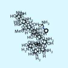 COC(=O)N[C@H]1[C@H](O[C@H]2[C@H](O)[C@@H](N)[C@H](O[C@H]3[C@H](O)[C@@H](N)[C@H](O)O[C@@H]3CO)O[C@@H]2CO)O[C@H](CO)[C@@H](O[C@@H]2O[C@H](CO)[C@@H](O[C@@H]3O[C@H](CO)[C@@H](O[C@@H]4O[C@H](CO)[C@@H](O[C@@H]5O[C@H](CO)[C@@H](O[C@@H]6O[C@H](CO)[C@@H](O[C@@H]7O[C@H](CO)[C@@H](O)[C@H](O)[C@H]7N)[C@H](O)[C@H]6N)[C@H](O)[C@H]5N)[C@H](O)[C@H]4N)[C@H](O)[C@H]3N)[C@H](O)[C@H]2N)[C@@H]1O.NC(=O)/C=C/c1ccccc1